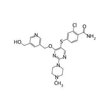 CN1CCN(c2ncc(Sc3ccc(C(N)=O)c(Cl)c3)c(OCc3cncc(CO)c3)n2)CC1